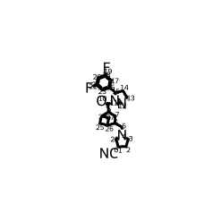 N#CC1CCN(CC2CC(C(=O)N3N=CCC3c3cc(F)cc(F)c3)C3CC2C3)C1